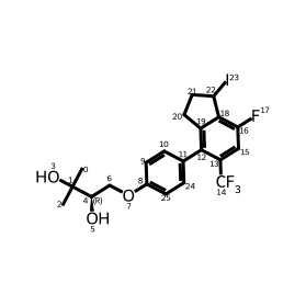 CC(C)(O)[C@H](O)COc1ccc(-c2c(C(F)(F)F)cc(F)c3c2CCC3I)cc1